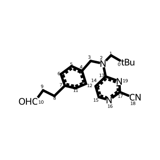 CC(C)(C)CN(Cc1ccc(CCC=O)cc1)c1ccnc(C#N)n1